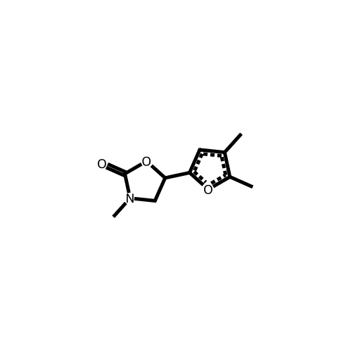 Cc1cc(C2CN(C)C(=O)O2)oc1C